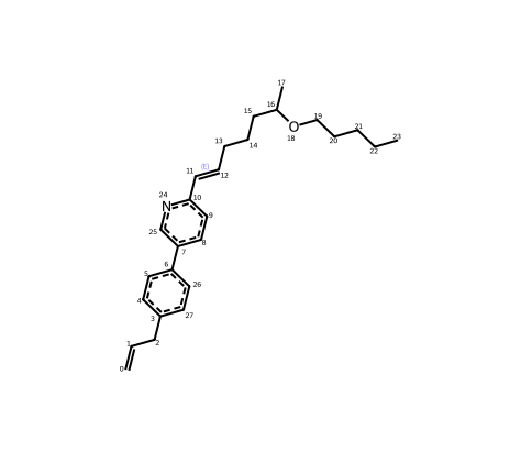 C=CCc1ccc(-c2ccc(/C=C/CCCC(C)OCCCCC)nc2)cc1